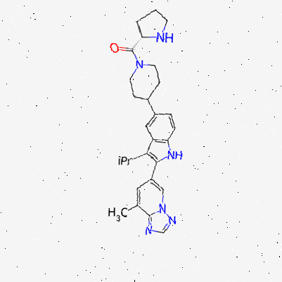 Cc1cc(-c2[nH]c3ccc(C4CCN(C(=O)[C@@H]5CCCN5)CC4)cc3c2C(C)C)cn2ncnc12